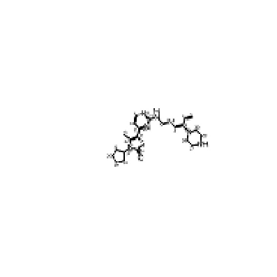 C=C/C(=C\N=C\Nc1nccc(-c2sc(=O)n(C3CCCC3)c2C)n1)N1CCNCC1